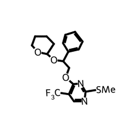 CSc1ncc(C(F)(F)F)c(OCC(OC2CCCCO2)c2ccccc2)n1